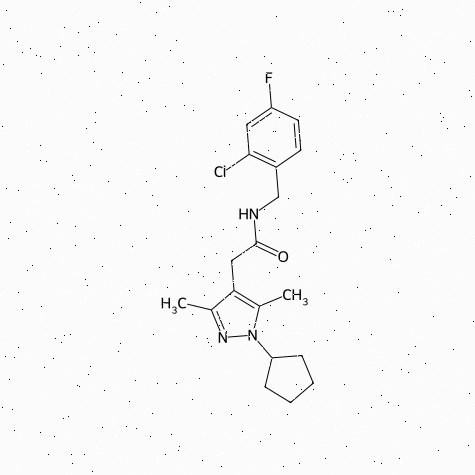 Cc1nn(C2CCCC2)c(C)c1CC(=O)NCc1ccc(F)cc1Cl